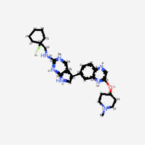 CN1CCC(Oc2cnc3ccc(-c4c[nH]c5nc(NCC6(F)CCCCC6)ncc45)cc3n2)CC1